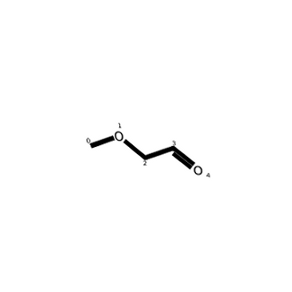 CO[CH][C]=O